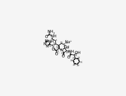 NC(=O)NCCC(Sc1nnn[nH]1)C1=C(C(=O)[O-])N2C(=O)C(NC(=O)C(O)c3ccccc3)[C@@H]2SC1.[Na+]